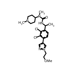 COCCn1cc(-c2ccc(C(C)NC(=O)N(C)C3CCN(C)CC3)c(Cl)c2Cl)cn1